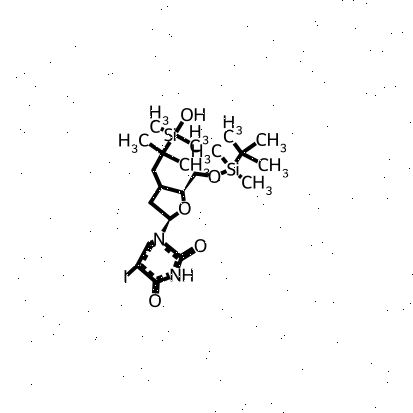 CC(C)(CC1C[C@H](n2cc(I)c(=O)[nH]c2=O)O[C@@H]1CO[Si](C)(C)C(C)(C)C)[Si](C)(C)O